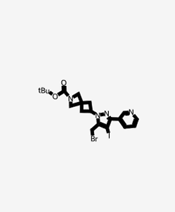 CC(C)(C)OC(=O)N1CC2(CC(n3nc(-c4cccnc4)c(I)c3CBr)C2)C1